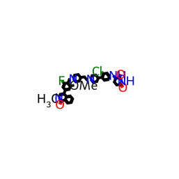 COc1cc(-c2cn(C)c(=O)c3ccccc23)cc(F)c1CN1CCC(CCN2CCC(c3ccc(NC4CCC(=O)NC4=O)cc3Cl)CC2)CC1